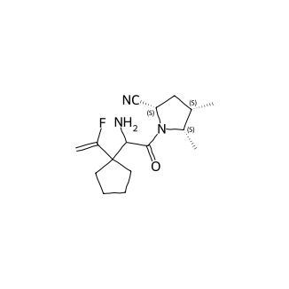 C=C(F)C1(C(N)C(=O)N2[C@H](C#N)C[C@H](C)[C@@H]2C)CCCC1